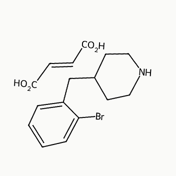 Brc1ccccc1CC1CCNCC1.O=C(O)/C=C/C(=O)O